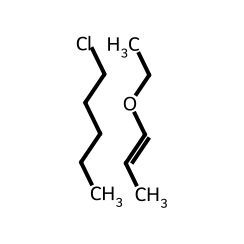 CC=COCC.CCCCCCl